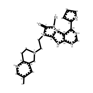 CCn1c(=O)n(CCN2CCc3ncc(C)cc3C2)c2nc3ncnc(-c4ccco4)c3n21